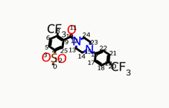 CS(=O)(=O)c1ccc(C(F)(F)F)c(C(=O)N2CCN(c3ccc(C(F)(F)F)cc3)CC2)c1